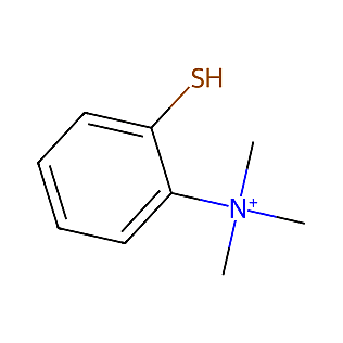 C[N+](C)(C)c1ccccc1S